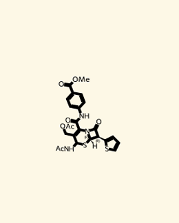 COC(=O)c1ccc(NC(=O)C2=C(COC(C)=O)C(NC(C)=O)S[C@@H]3[C@H](c4cccs4)C(=O)N23)cc1